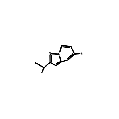 CC(C)c1cc2cc(Br)ccn2n1